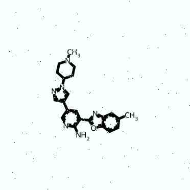 Cc1ccc2oc(-c3cc(-c4cnn(C5CCN(C)CC5)c4)cnc3N)nc2c1